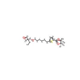 CCC1(COCCCCCCc2ccc(B3OC(C)(C)C(C)(C)O3)s2)COC1